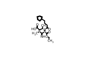 CCOC(=O)N(OC(=O)CCCc1ccccc1)C(=N)N(C)C(CC)C(=O)O